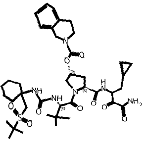 CC(C)(C)[C@H](NC(=O)NC1(CS(=O)(=O)C(C)(C)C)CCCCC1)C(=O)N1C[C@H](OC(=O)N2CCc3ccccc3C2)C[C@H]1C(=O)NC(CC1CC1)C(=O)C(N)=O